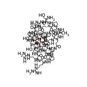 CC(C)C[C@H](NC(=O)[C@@H](NC(=O)[C@@H](NC(=O)[C@@H](NC(=O)[C@@H](NC(=O)CNC(=O)[C@H](CCC(N)=O)NC(=O)[C@H](C)NC(=O)[C@@H]1CCCN1C(=O)[C@H](CCCNC(=N)N)NC(=O)[C@@H](N)CO)C(C)C)C(C)C)[C@@H](C)O)[C@@H](C)O)C(=O)N[C@@H](CCC(=O)O)C(=O)N[C@@H](CC(N)=O)C(=O)N[C@H](C(=O)N[C@@H](CO)C(=O)N1CCC[C@H]1C(=O)N1CCC[C@H]1C(=O)N[C@@H](CCCNC(=N)N)C(=O)N[C@@H](CCCNC(=N)N)C(=O)N[C@@H](C)C(=O)O)C(C)C